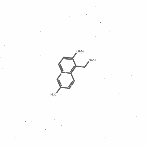 CNCc1c(OC)ccc2cc(C)ccc12